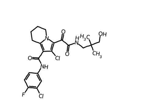 CC(C)(CO)CNC(=O)C(=O)c1c(Cl)c(C(=O)Nc2ccc(F)c(Cl)c2)c2n1CCCC2